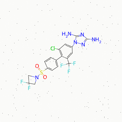 Nc1nc(N)n(-c2cc(Cl)c(-c3ccc(S(=O)(=O)N4CC(F)(F)C4)cc3)c(C(F)(F)F)c2)n1